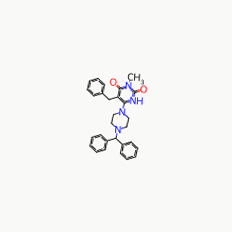 Cn1c(=O)[nH]c(N2CCN(C(c3ccccc3)c3ccccc3)CC2)c(Cc2ccccc2)c1=O